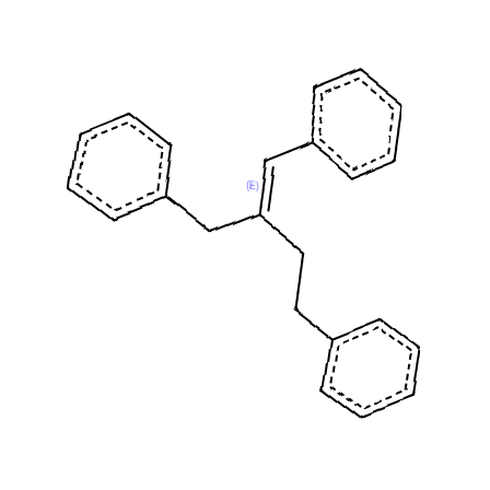 C(=C(/CCc1ccccc1)Cc1ccccc1)/c1ccccc1